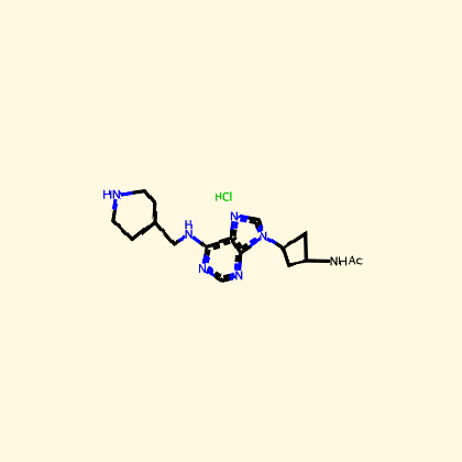 CC(=O)NC1CC(n2cnc3c(NCC4CCNCC4)ncnc32)C1.Cl